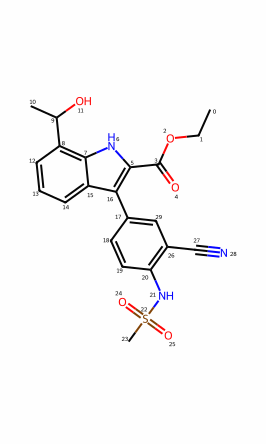 CCOC(=O)c1[nH]c2c(C(C)O)cccc2c1-c1ccc(NS(C)(=O)=O)c(C#N)c1